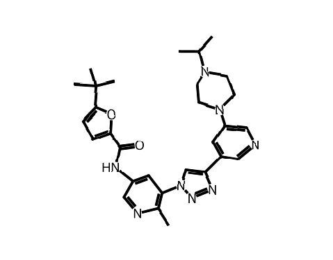 Cc1ncc(NC(=O)c2ccc(C(C)(C)C)o2)cc1-n1cc(-c2cncc(N3CCN(C(C)C)CC3)c2)nn1